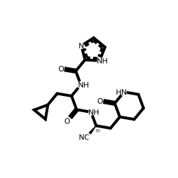 N#C[C@H](CC1CCCNC1=O)NC(=O)C(CC1CC1)NC(=O)c1ncc[nH]1